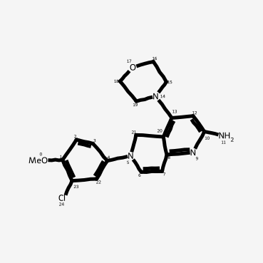 COc1ccc(N2C=Cc3nc(N)cc(N4CCOCC4)c3C2)cc1Cl